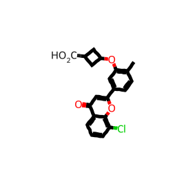 Cc1ccc(-c2cc(=O)c3cccc(Cl)c3o2)cc1OC1CC(C(=O)O)C1